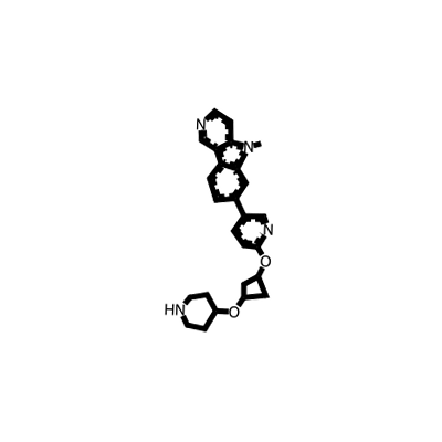 Cn1c2ccncc2c2ccc(-c3ccc(OC4CC(OC5CCNCC5)C4)nc3)cc21